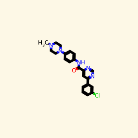 CN1CCN(c2ccc(NC(=O)c3cc(-c4cccc(Cl)c4)ncn3)cc2)CC1